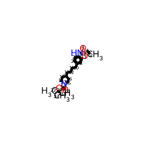 CCS(=O)(=O)Nc1ccc(CCCCC2CCN(C(=O)OC(C)(C)C)CC2)cc1